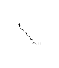 C#CCCOCCCCNC(=O)O